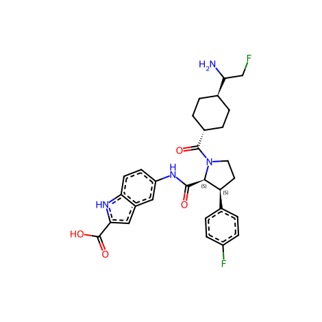 NC(CF)[C@H]1CC[C@H](C(=O)N2CC[C@@H](c3ccc(F)cc3)[C@H]2C(=O)Nc2ccc3[nH]c(C(=O)O)cc3c2)CC1